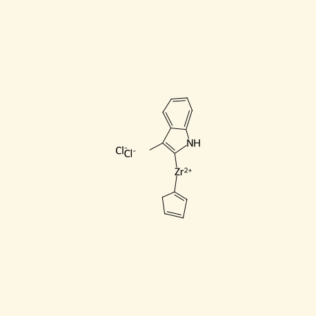 Cc1[c]([Zr+2][C]2=CC=CC2)[nH]c2ccccc12.[Cl-].[Cl-]